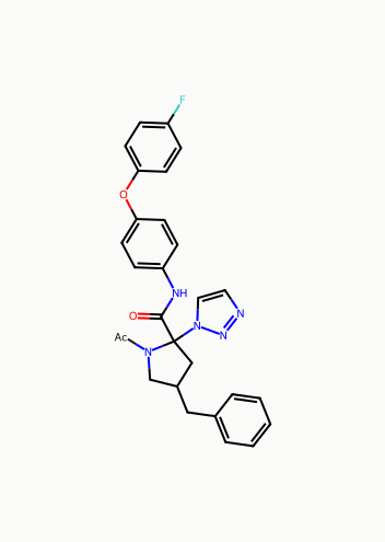 CC(=O)N1CC(Cc2ccccc2)CC1(C(=O)Nc1ccc(Oc2ccc(F)cc2)cc1)n1ccnn1